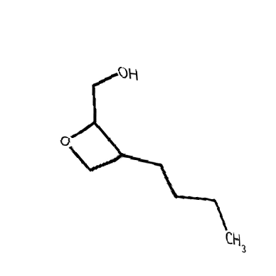 CCCCC1COC1CO